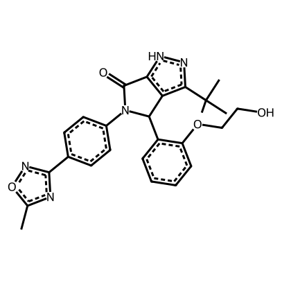 Cc1nc(-c2ccc(N3C(=O)c4[nH]nc(C(C)(C)C)c4C3c3ccccc3OCCO)cc2)no1